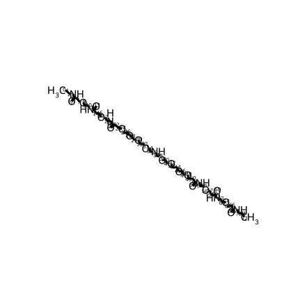 CCCNC(=O)CCOCCNC(=O)CCOCCNC(=O)CCOCCOCCOCCOCCNCCOCCOCCOCCOCCC(=O)NCCOCCC(=O)NCCOCCC(=O)NCCC